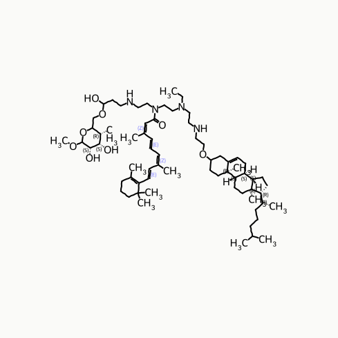 CCN(CCNCCOC1CC[C@@]2(C)C(=CC[C@H]3[C@@H]4CC[C@H]([C@H](C)CCCC(C)C)[C@@]4(C)CC[C@@H]32)C1)CCN(CCNCCC(O)OCC1OC(OC)[C@@H](O)[C@@H](O)[C@H]1C)C(=O)\C=C(C)/C=C/C=C(C)\C=C\C1=C(C)CCCC1(C)C